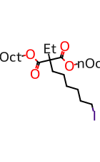 CCCCCCCCOC(=O)C(CC)(CCCCCCI)C(=O)OCCCCCCCC